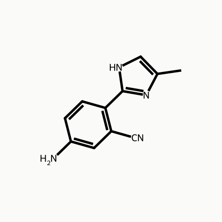 Cc1c[nH]c(-c2ccc(N)cc2C#N)n1